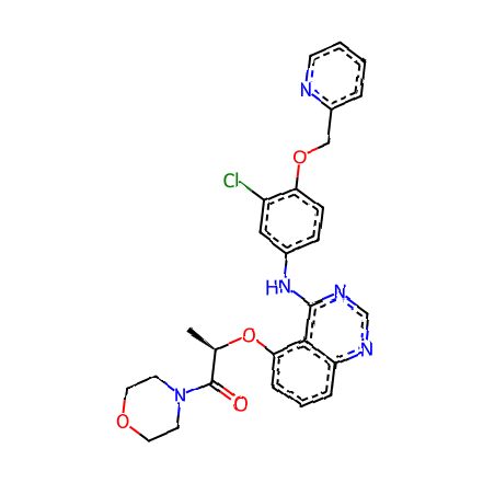 C[C@@H](Oc1cccc2ncnc(Nc3ccc(OCc4ccccn4)c(Cl)c3)c12)C(=O)N1CCOCC1